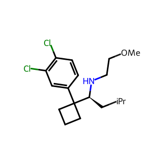 COCCN[C@@H](CC(C)C)C1(c2ccc(Cl)c(Cl)c2)CCC1